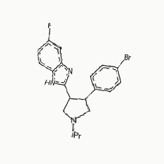 CC(C)N1CC(c2ccc(Br)cc2)C(c2nc3cc(F)ccc3[nH]2)C1